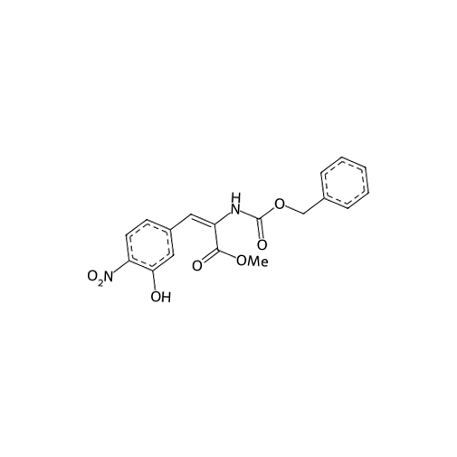 COC(=O)/C(=C\c1ccc([N+](=O)[O-])c(O)c1)NC(=O)OCc1ccccc1